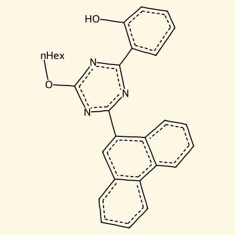 CCCCCCOc1nc(-c2ccccc2O)nc(-c2cc3ccccc3c3ccccc23)n1